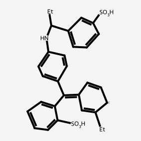 CCC1=CC(=C(c2ccc(NC(CC)c3cccc(S(=O)(=O)O)c3)cc2)c2ccccc2S(=O)(=O)O)C=C[C]1